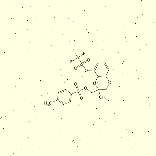 Cc1ccc(S(=O)(=O)OCC2(C)COc3cccc(OS(=O)(=O)C(F)(F)F)c3O2)cc1